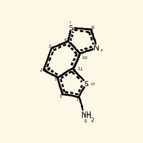 Nc1cc2ccc3scnc3c2s1